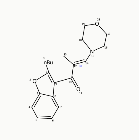 CCCCc1oc2ccccc2c1C(=O)/C(C)=C/N1CCOCC1